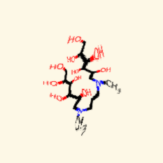 CN(CCCN(C)CC(O)C(O)C(O)C(O)CO)CC(O)C(O)C(O)C(O)CO